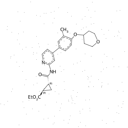 CCOC(=O)[C@@H]1C[C@H]1C(=O)Nc1cc(-c2ccc(OC3CCOCC3)c(C)c2)ccn1